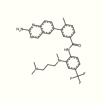 Cc1ccc(C(=O)Nc2ccc(C(F)(F)F)cc2N(C)CCCN(C)C)cc1-c1ccc2nc(N)ncc2c1